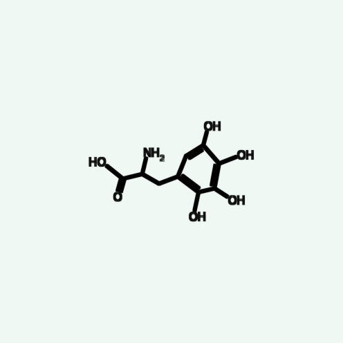 NC(Cc1cc(O)c(O)c(O)c1O)C(=O)O